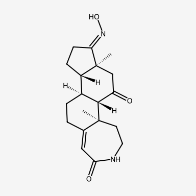 C[C@]12CCNC(=O)C=C1CC[C@@H]1[C@@H]2C(=O)C[C@]2(C)/C(=N/O)CC[C@@H]12